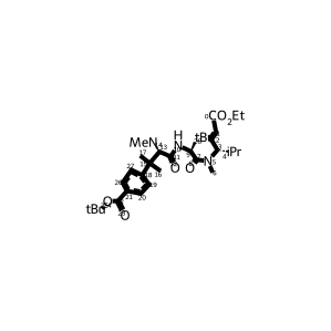 CCOC(=O)/C=C/[C@H](C(C)C)N(C)C(=O)[C@@H](NC(=O)[C@@H](NC)C(C)(C)c1ccc(C(=O)OC(C)(C)C)cc1)C(C)(C)C